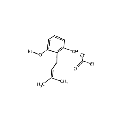 CCC(=O)CC.CCOc1cccc(O)c1CC=C(C)C